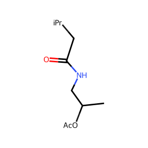 CC(=O)OC(C)CNC(=O)CC(C)C